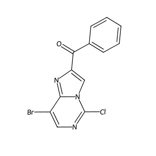 O=C(c1ccccc1)c1cn2c(Cl)ncc(Br)c2n1